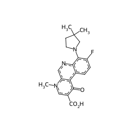 Cn1cc(C(=O)O)c(=O)c2c3ccc(F)c(N4CCC(C)(C)C4)c3ncc21